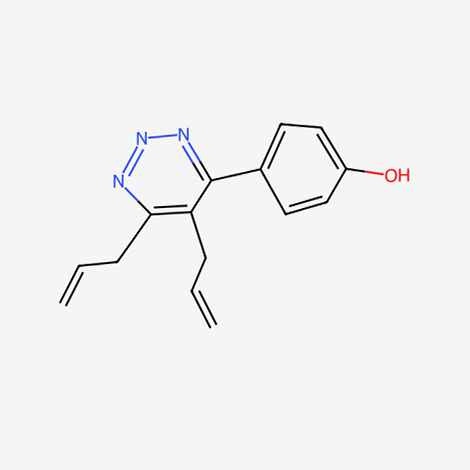 C=CCc1nnnc(-c2ccc(O)cc2)c1CC=C